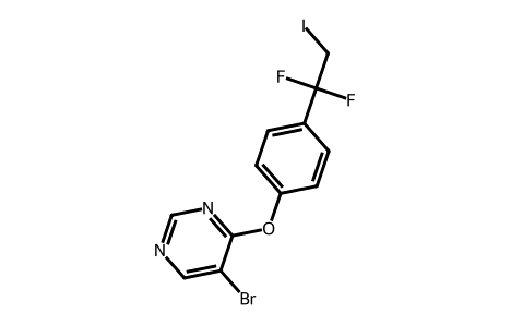 FC(F)(CI)c1ccc(Oc2ncncc2Br)cc1